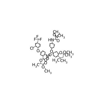 CCOC(=O)C(C)OC(=O)c1cc(Oc2ccc(C(F)(F)F)cc2Cl)ccc1[N+](=O)[O-].CON(C)C(=O)Nc1ccc(Oc2ccc3c(c2)OC(C)(OC)CC3(C)C)cc1